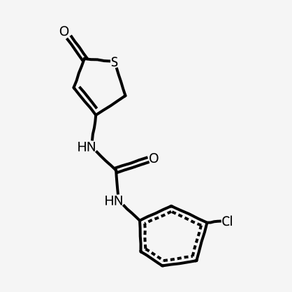 O=C(NC1=CC(=O)SC1)Nc1cccc(Cl)c1